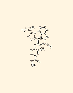 COC(=O)c1ccc(Cc2c(C)c(C#N)c3nc4ccccc4n3c2N2CC[C@H](N(C)C)C2)cc1